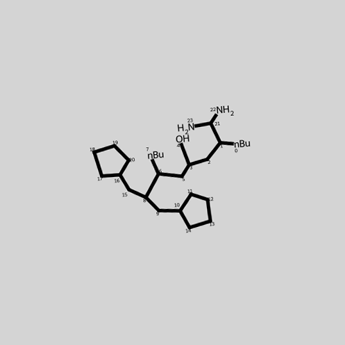 CCCCC(CC(O)CC(CCCC)C(CC1CCCC1)CC1CCCC1)C(N)N